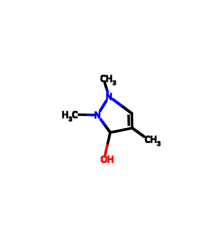 CC1=CN(C)N(C)C1O